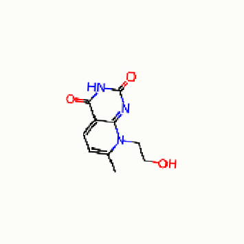 Cc1ccc2c(=O)[nH]c(=O)nc-2n1CCO